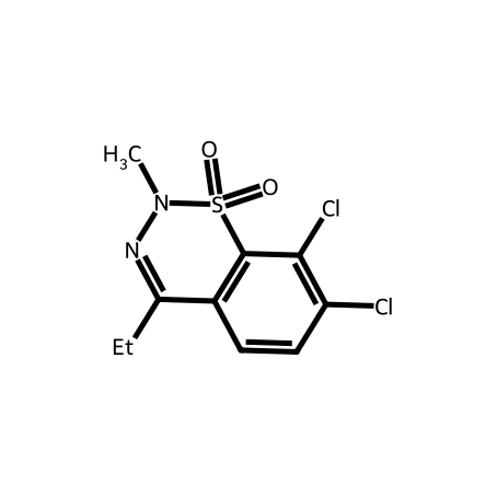 CCC1=NN(C)S(=O)(=O)c2c1ccc(Cl)c2Cl